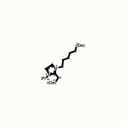 CCCCCCCCCCCCCCC[n+]1ccn(C(C)C)c1CCCCCCCCCCC